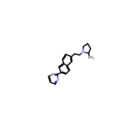 CC1CCCN1CCc1ccc2cc(-c3ncccn3)ccc2c1